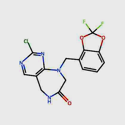 O=C1CN(Cc2cccc3c2OC(F)(F)O3)c2nc(Cl)ncc2CN1